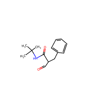 CC(C)(C)NC(=O)C(C=O)Cc1ccccc1